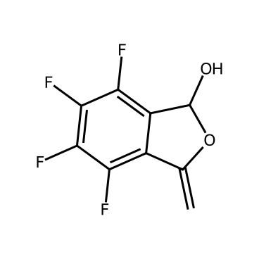 C=C1OC(O)c2c(F)c(F)c(F)c(F)c21